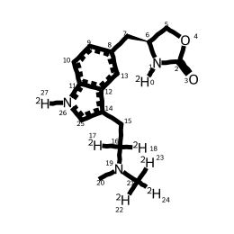 [2H]N1C(=O)OC[C@@H]1Cc1ccc2c(c1)c(CC([2H])([2H])N(C)C([2H])([2H])[2H])cn2[2H]